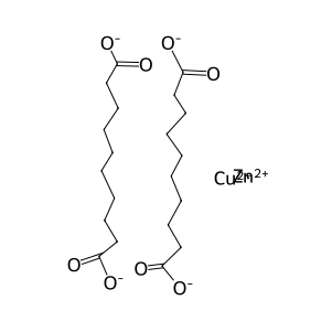 O=C([O-])CCCCCCCCC(=O)[O-].O=C([O-])CCCCCCCCC(=O)[O-].[Cu+2].[Zn+2]